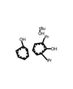 CC(C)(C)O.CC(C)c1cccc(C(C)C)c1O.Oc1ccccc1